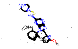 CCOc1cccc(-c2nc3ncc(NSN4CCNCC4)nc3n2-c2c(OC)cccc2OC)n1